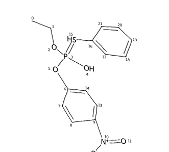 CCOP(O)(Oc1ccc([N+](=O)[O-])cc1)=[SH]c1ccccc1